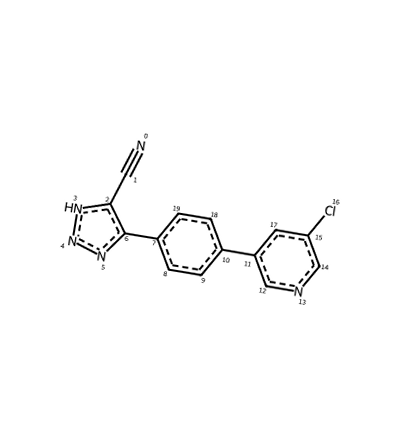 N#Cc1[nH]nnc1-c1ccc(-c2cncc(Cl)c2)cc1